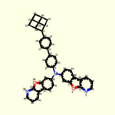 c1cnc2oc3cc(N(c4ccc(-c5ccc(C6C7CC8CC9CC6C897)cc5)cc4)c4ccc5c(c4)oc4ncccc45)ccc3c2c1